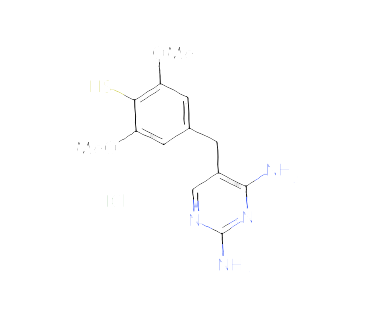 COc1cc(Cc2cnc(N)nc2N)cc(OC)c1S.Cl